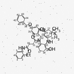 CCc1ccccc1NC(=O)CCC(=O)N1C2=CCCC(O)=C2NC2=C(C(=O)CC(C)(C)C2)C1c1ccc(OCc2ccccc2)cc1Cl